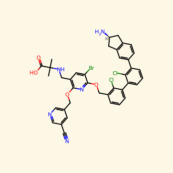 CC(C)(NCc1cc(Br)c(OCc2cccc(-c3cccc(-c4ccc5c(c4)C[C@@H](N)C5)c3Cl)c2Cl)nc1OCc1cncc(C#N)c1)C(=O)O